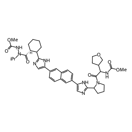 COC(=O)NC(C(=O)N1CCCC1c1ncc(-c2ccc3cc(-c4cnc(C5CCCC[C@H]5C(=O)N(NC(=O)OC)C(C)C)[nH]4)ccc3c2)[nH]1)C1CCOC1